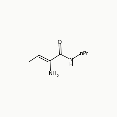 CC=C(N)C(=O)NCCC